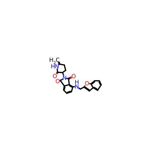 C=C1CCC(N2C(=O)c3cccc(NCc4cc5ccccc5o4)c3C2=O)C(=O)N1